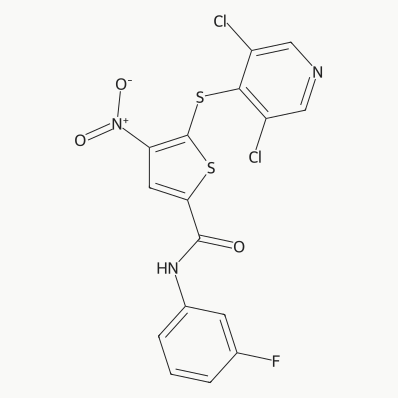 O=C(Nc1cccc(F)c1)c1cc([N+](=O)[O-])c(Sc2c(Cl)cncc2Cl)s1